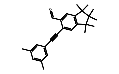 Cc1cc(C)cc(C#Cc2cc3c(cc2C=O)C(C)(C)C(C)(C)C3(C)C)c1